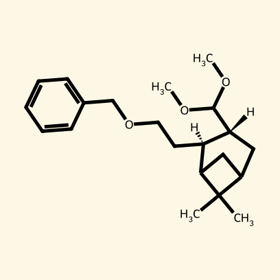 COC(OC)[C@@H]1CC2CC([C@H]1CCOCc1ccccc1)C2(C)C